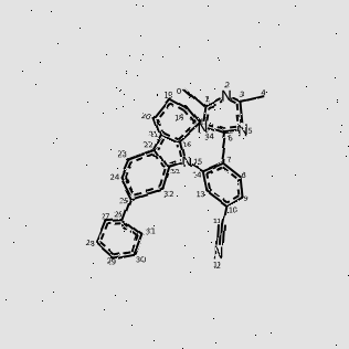 Cc1nc(C)nc(-c2ccc(C#N)cc2-n2c3ccccc3c3ccc(-c4ccccc4)cc32)n1